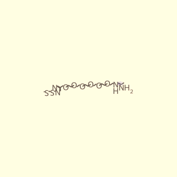 CSCSc1ncc(COCCOCCOCCOCCOCCOCCN/C=C(/C)N)cn1